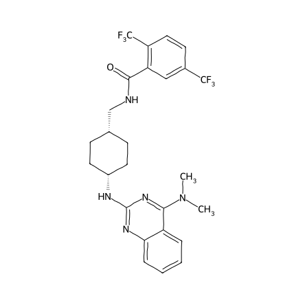 CN(C)c1nc(N[C@H]2CC[C@@H](CNC(=O)c3cc(C(F)(F)F)ccc3C(F)(F)F)CC2)nc2ccccc12